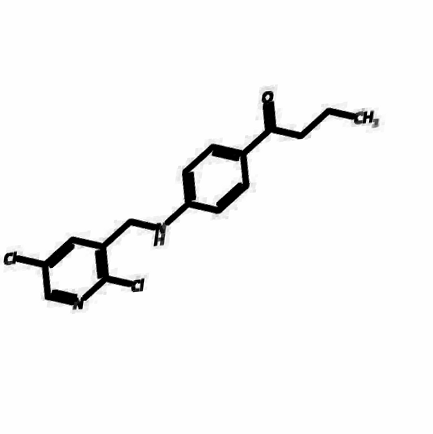 CCCC(=O)c1ccc(NCc2cc(Cl)cnc2Cl)cc1